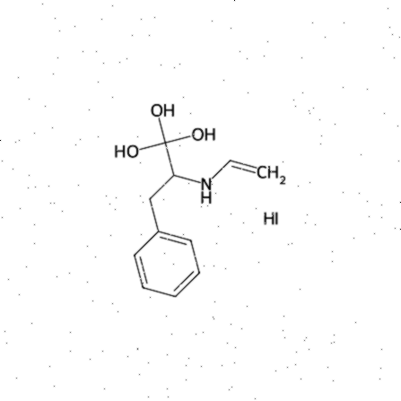 C=CNC(Cc1ccccc1)C(O)(O)O.I